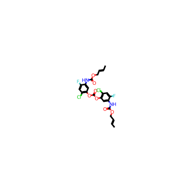 C/C=C/COC(=O)Nc1cc(OC(=O)Oc2cc(NC(=O)OC/C=C/C)c(F)cc2Cl)c(Cl)cc1F